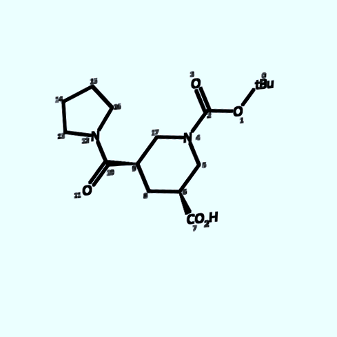 CC(C)(C)OC(=O)N1C[C@@H](C(=O)O)C[C@@H](C(=O)N2CCCC2)C1